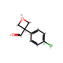 O=CC1(c2ccc(Br)cc2)COC1